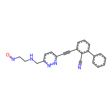 N#Cc1c(C#Cc2ccc(CNCCN=O)nn2)cccc1-c1ccccc1